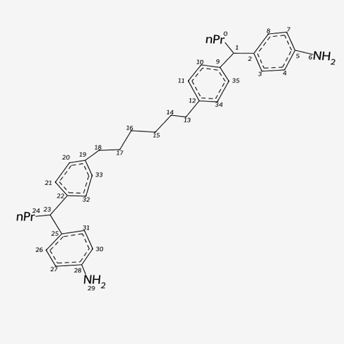 CCCC(c1ccc(N)cc1)c1ccc(CCCCCCc2ccc(C(CCC)c3ccc(N)cc3)cc2)cc1